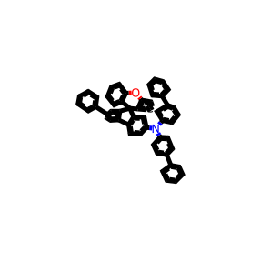 c1ccc(-c2ccc(N(c3cccc(-c4ccccc4)c3)c3ccc4c(c3)C3(c5ccccc5Oc5ccccc53)c3cc(-c5ccccc5)ccc3-4)cc2)cc1